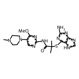 COc1nc(NC(=O)C(C)(C)Sc2nc(N)nc3nc[nH]c23)ncc1N1CCN(C)CC1